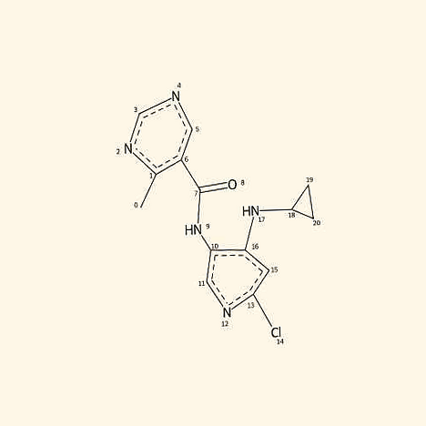 Cc1ncncc1C(=O)Nc1cnc(Cl)cc1NC1CC1